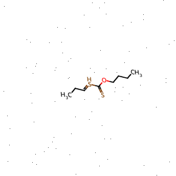 CCC=[SH]C(=S)OCCCC